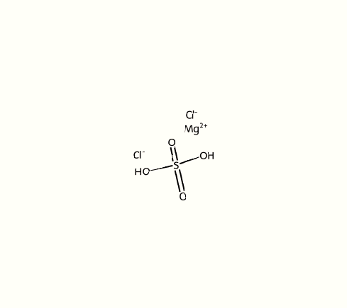 O=S(=O)(O)O.[Cl-].[Cl-].[Mg+2]